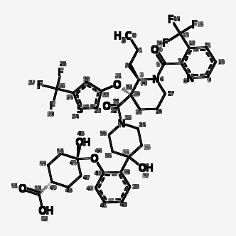 CCC[C@H]1N(C(=O)c2ncccc2C(F)(F)F)CCC[C@@]1(Oc1csc(C(F)(F)F)c1)C(=O)N1CCC(O)(c2ccccc2O[C@]2(O)CC[C@H](C(=O)O)CC2)CC1